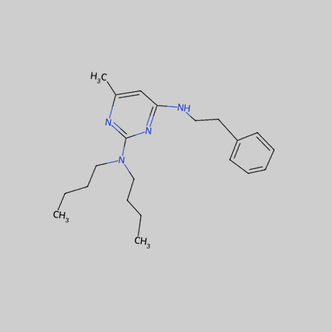 CCCCN(CCCC)c1nc(C)cc(NCCc2ccccc2)n1